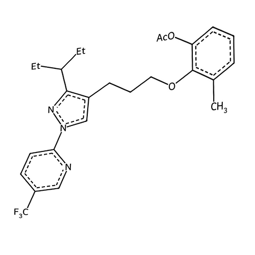 CCC(CC)c1nn(-c2ccc(C(F)(F)F)cn2)cc1CCCOc1c(C)cccc1OC(C)=O